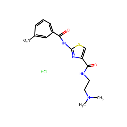 CN(C)CCNC(=O)c1csc(NC(=O)c2cccc([N+](=O)[O-])c2)n1.Cl